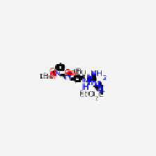 CCOC(=O)CN1CCN(c2cc(N)nc(NCC3CCC(CN(CCCN(C(=O)OC(C)(C)C)C4CCCCC4)C(=O)OC(C)(C)C)CC3)n2)CC1